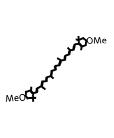 COC1CC(C)=C(/C=C/C(C)=C/C=C/C(C)=C/C=C/C=C(C)/C=C/C=C(C)/C=C/C2=C(C)CC(OC)CC2(C)C)C(C)(C)C1